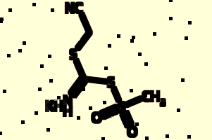 CS(=O)(=O)SC(=N)SCC#N.[KH]